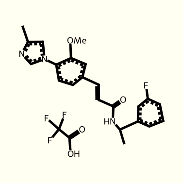 COc1cc(/C=C/C(=O)NC(C)c2cccc(F)c2)ccc1-n1cnc(C)c1.O=C(O)C(F)(F)F